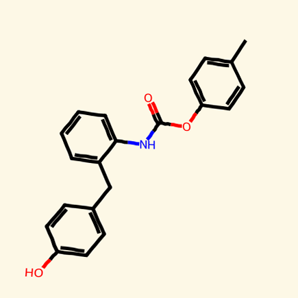 Cc1ccc(OC(=O)Nc2ccccc2Cc2ccc(O)cc2)cc1